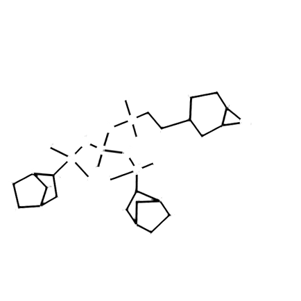 C[Si](C)(CCC1CCC2OC2C1)O[Si](C)(O[Si](C)(C)C1CC2CCC1C2)O[Si](C)(C)C1CC2CCC1C2